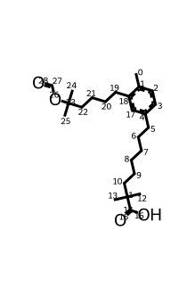 Cc1ccc(CCCCCCC(C)(C)C(=O)O)cc1CCCCC(C)(C)OC=O